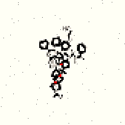 COc1ccc(C(C)(C)c2ccc3c(c2)[C@]2(C(=O)N3C(=O)N[C@@H](C)c3ccccc3)[C@H](c3ccc(OCCO)cc3)N3[C@H](c4ccccc4)[C@H](c4ccccc4)OC(=O)[C@H]3[C@@H]2C(=O)Nc2ccc(N3CCN(C(C)=O)CC3)cc2)cc1